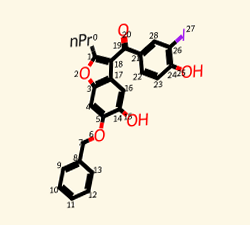 CCCc1oc2cc(OCc3ccccc3)c(O)cc2c1C(=O)c1ccc(O)c(I)c1